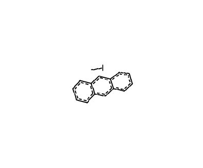 CI.c1ccc2cc3ccccc3cc2c1